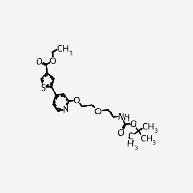 CCOC(=O)c1csc(-c2ccnc(OCCOCCNC(=O)OC(C)(C)C)c2)c1